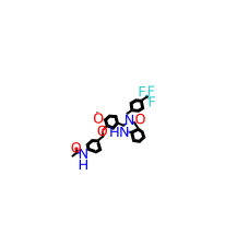 COc1ccc(C2Nc3ccccc3C(=O)N2Cc2ccc(C(F)(F)F)cc2)cc1OCc1ccc(NC(C)=O)cc1